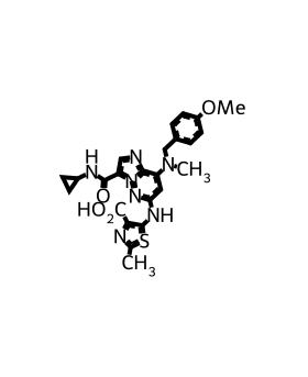 COc1ccc(CN(C)c2cc(Nc3sc(C)nc3C(=O)O)nn3c(C(=O)NC4CC4)cnc23)cc1